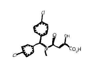 CN(C(=O)C=C(O)C(=O)O)C(c1ccc(Cl)cc1)c1ccc(Cl)cc1